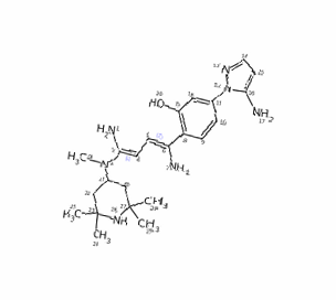 CN(/C(N)=C/C=C(\N)c1ccc(-n2nccc2N)cc1O)C1CC(C)(C)NC(C)(C)C1